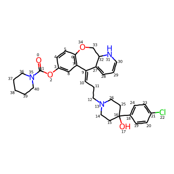 O=C(Oc1ccc2c(c1)/C(=C/CCN1CCC(O)(c3ccc(Cl)cc3)CC1)C1=CC=CNC1CO2)N1CCCCC1